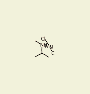 CNC(C)C.[Cl][Mg][Cl]